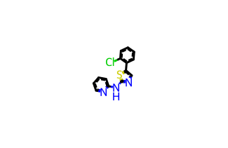 Clc1ccccc1-c1cnc(Nc2ccccn2)s1